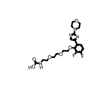 O=C(O)NCCOCCOCCOc1c(-c2csc(N3CCOCC3)n2)ccc(F)c1F